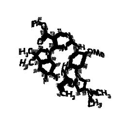 C=CC(=O)Nc1cc(Nc2ncc(C(=O)OC(C)C)c(N3CC(C)(C)c4cc(F)c(F)cc43)n2)c(OC)cc1N1CC[C@@H](N(C)C)C1